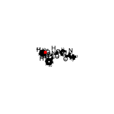 CC(C)(C)/C=C(\C#N)C(=O)N1CC[C@H](OC(=O)N[C@@H](Cc2ccccc2)B2O[C@H]3[C@H]4C[C@@H](C[C@@]3(C)O2)C4(C)C)C1